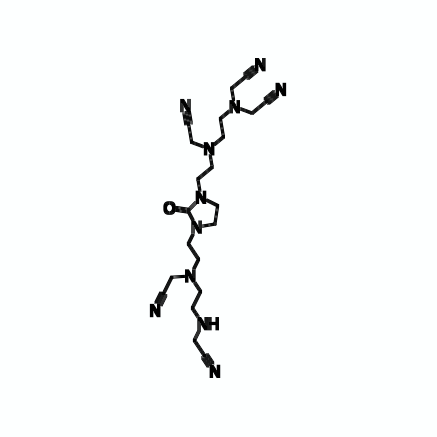 N#CCNCCN(CC#N)CCN1CCN(CCN(CC#N)CCN(CC#N)CC#N)C1=O